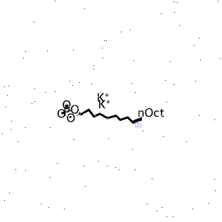 CCCCCCCC/C=C\CCCCCCCCOP(=O)([O-])[O-].[K+].[K+]